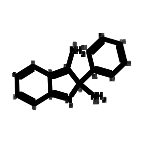 NC1=c2ccccc2=NC1(N)c1ccccc1